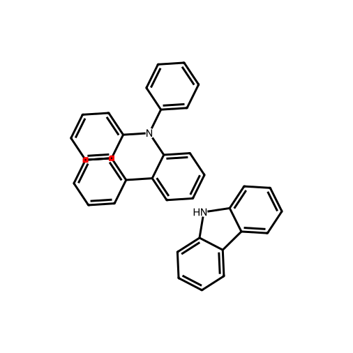 c1ccc(-c2ccccc2N(c2ccccc2)c2ccccc2)cc1.c1ccc2c(c1)[nH]c1ccccc12